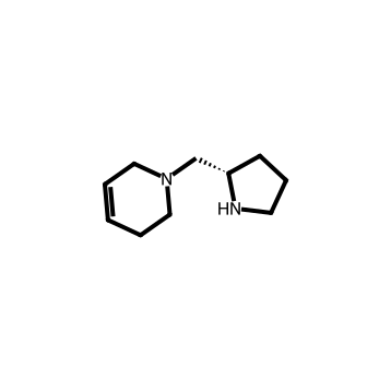 C1=CCN(C[C@@H]2CCCN2)CC1